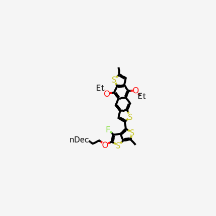 CCCCCCCCCCCCOc1sc2c(C)sc(-c3cc4cc5c(OCC)c6sc(C)cc6c(OCC)c5cc4s3)c2c1F